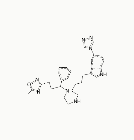 Cc1nc(CCC(c2ccccc2)N2CCNCC2CCCc2c[nH]c3ccc(-n4cnnc4)cc23)no1